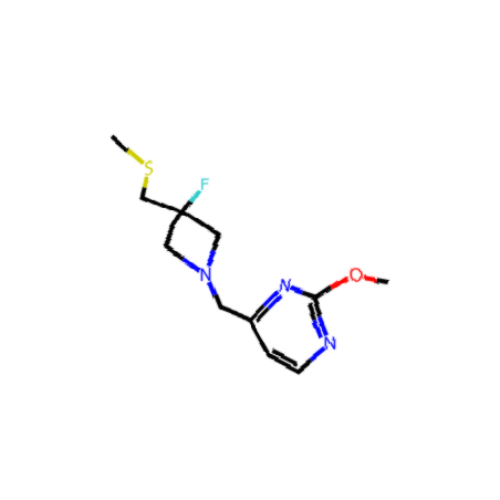 COc1nccc(CN2CC(F)(CSC)C2)n1